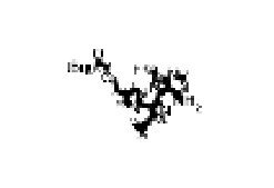 CC(C)(C)OC(=O)COCCc1cnc(-c2c(-c3nn(C(C)(C)C)c4ncnc(N)c34)noc2C2CC2)nc1